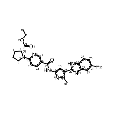 CCOC(=O)[C@H]1CCCN1c1ccc(C(=O)Nc2cc(-c3nc4cc(F)ccc4[nH]3)n(C)n2)cn1